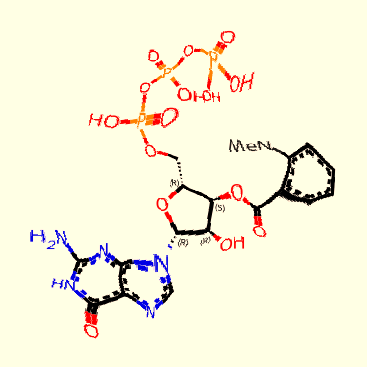 CNc1ccccc1C(=O)O[C@H]1[C@@H](O)[C@H](n2cnc3c(=O)[nH]c(N)nc32)O[C@@H]1COP(=O)(O)OP(=O)(O)OP(=O)(O)O